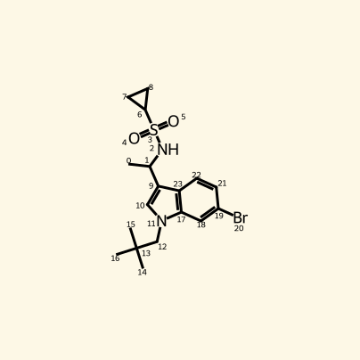 CC(NS(=O)(=O)C1CC1)c1cn(CC(C)(C)C)c2cc(Br)ccc12